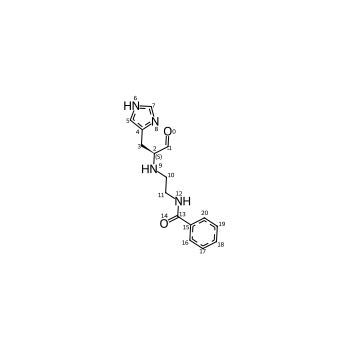 O=[C][C@H](Cc1c[nH]cn1)NCCNC(=O)c1ccccc1